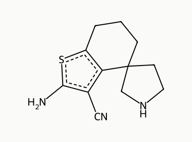 N#Cc1c(N)sc2c1C1(CCC2)CCNC1